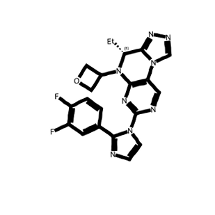 CC[C@@H]1c2nncn2-c2cnc(-n3ccnc3-c3ccc(F)c(F)c3)nc2N1C1COC1